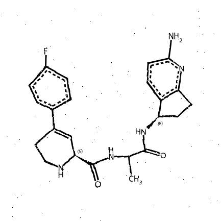 CC(NC(=O)[C@@H]1C=C(c2ccc(F)cc2)CCN1)C(=O)N[C@@H]1CCc2nc(N)ccc21